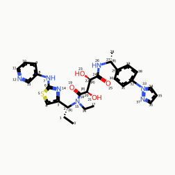 CC[C@H](c1csc(Nc2cccnc2)n1)N(CC)C(=O)[C@H](O)[C@@H](O)C(=O)N[C@H](C)c1ccc(-n2cccn2)cc1